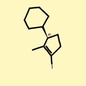 CC1=C(I)CC[C@@H]1C1CCCCC1